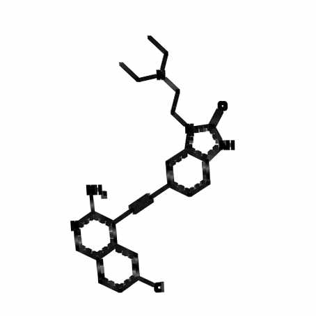 CCN(CC)CCn1c(=O)[nH]c2ccc(C#Cc3c(N)ncc4ccc(Cl)cc34)cc21